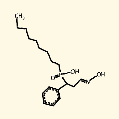 CCCCCCCCCP(=O)(O)C(CC=NO)c1ccccc1